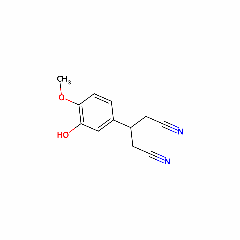 COc1ccc(C(CC#N)CC#N)cc1O